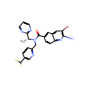 C[C@H](c1ncccn1)N(Cc1ccc(C(F)F)cn1)C(=O)c1ccc2nc(N)c(Br)cc2c1